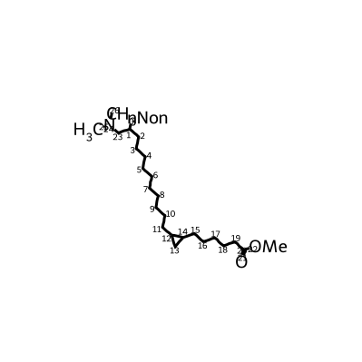 CCCCCCCCCC(CCCCCCCCCCC1CC1CCCCCC(=O)OC)CN(C)C